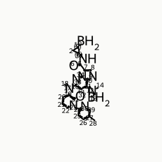 B[C@H]1C[C@H]1NC(=O)c1cnc2c(N(B)C)cc(N(C)c3cccn(-c4ccc(C)cn4)c3=O)nn12